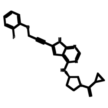 C=C(C1CC1)N1CC[C@@H](Nc2ncnc3[nH]c(C#CCOc4ccccc4F)cc23)C1